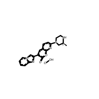 C[C@H]1CN(c2ccc3cc(-c4cn5ccccc5n4)c(=O)oc3n2)CCN1.OCl